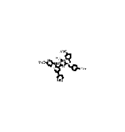 COc1ccc(CN(Cc2ccc(OC)cc2)c2nc(C)nc(-c3cc(-c4ccnnc4)cnc3Nc3ccc(OC)nc3)n2)cc1